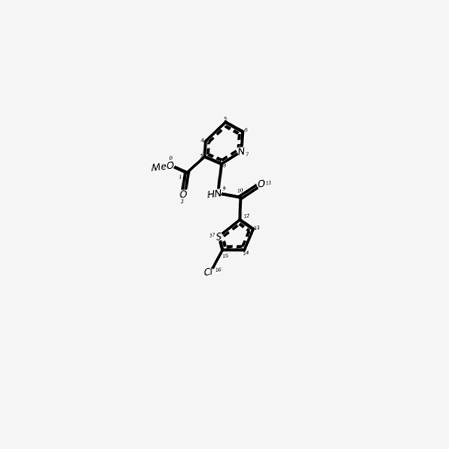 COC(=O)c1cccnc1NC(=O)c1ccc(Cl)s1